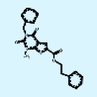 Cn1c(=O)n(Cc2ccccc2)c(=O)c2cc(C(=O)OCCc3ccccc3)sc21